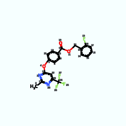 Cc1nc(Oc2ccc(C(=O)OCc3ccccc3F)cc2)cc(C(F)(F)F)n1